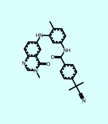 Cc1ccc(NC(=O)c2ccc(C(C)(C)C#N)cc2)cc1Nc1ccc2ncn(C)c(=O)c2c1